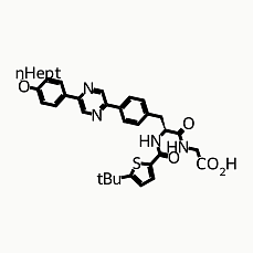 CCCCCCCOc1ccc(-c2cnc(-c3ccc(C[C@H](NC(=O)c4ccc(C(C)(C)C)s4)C(=O)NCC(=O)O)cc3)cn2)cc1